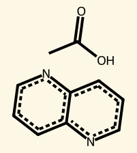 CC(=O)O.c1cnc2cccnc2c1